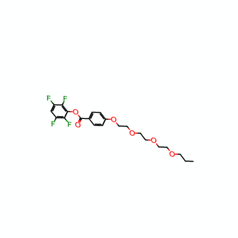 CCCOCCOCCOCCOc1ccc(C(=O)Oc2c(F)c(F)cc(F)c2F)cc1